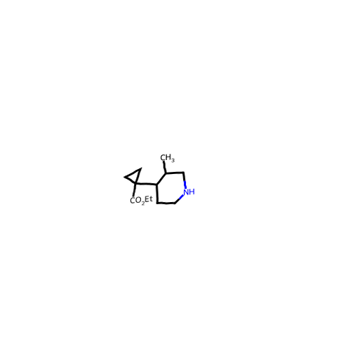 CCOC(=O)C1(C2CCNCC2C)CC1